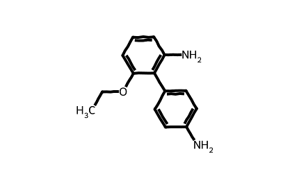 CCOc1cccc(N)c1-c1ccc(N)cc1